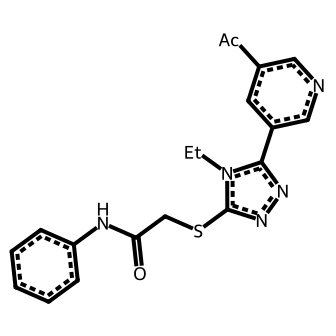 CCn1c(SCC(=O)Nc2ccccc2)nnc1-c1cncc(C(C)=O)c1